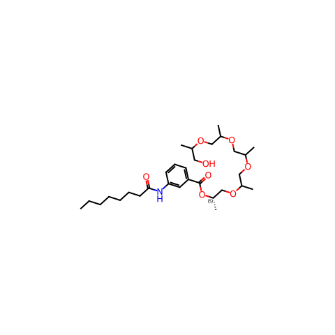 CCCCCCCC(=O)Nc1cccc(C(=O)O[C@@H](C)COC(C)COC(C)COC(C)COC(C)CO)c1